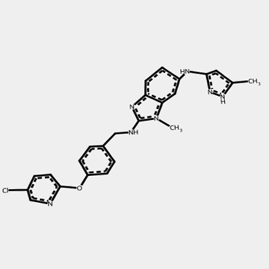 Cc1cc(Nc2ccc3nc(NCc4ccc(Oc5ccc(Cl)cn5)cc4)n(C)c3c2)n[nH]1